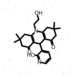 CC1(C)CC(=O)C2=C(C1)N(CCO)C1=C(C(=O)CC(C)(C)C1)C2c1cccnc1O